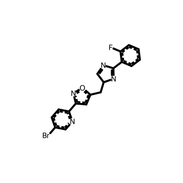 Fc1ccccc1C1=NC(Cc2cc(-c3ccc(Br)cn3)no2)C=N1